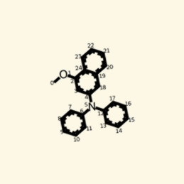 COc1cc(N(c2ccccc2)c2ccccc2)cc2ccccc12